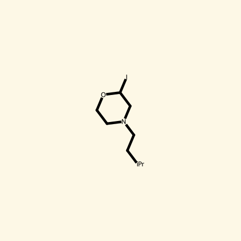 CC(C)CCN1CCOC(I)C1